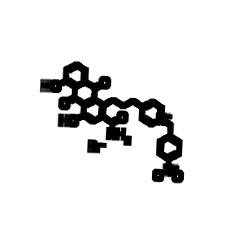 NC(=O)c1cc(O)c2c(c1CCCc1cc[n+](Cc3ccc([N+](=O)[O-])cc3)cc1)C(=O)c1cccc(O)c1C2=O.[Br-]